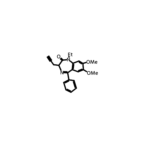 C#CCC1N=C(c2ccccc2)c2cc(OC)c(OC)cc2N(CC)C1=O